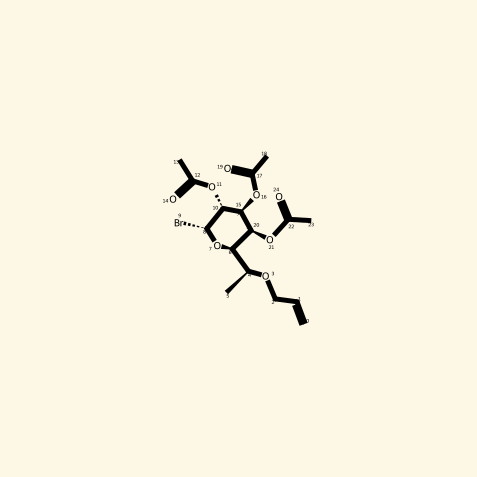 C=CCO[C@@H](C)[C@H]1O[C@H](Br)[C@H](OC(C)=O)[C@@H](OC(C)=O)[C@H]1OC(C)=O